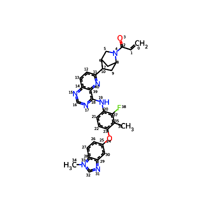 C=CC(=O)N1CC2CC1CC2c1ccc2ncnc(Nc3ccc(Oc4ccc5c(c4)ncn5C)c(C)c3F)c2n1